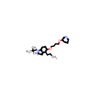 CCCc1c(OCCCCOc2cccnc2)ccc2c1ccn2CC(C)(C)C